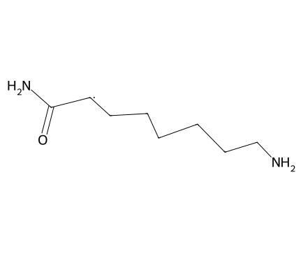 NCCCCCC[CH]C(N)=O